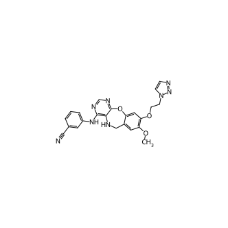 COc1cc2c(cc1OCCn1ccnn1)Oc1ncnc(Nc3cccc(C#N)c3)c1NC2